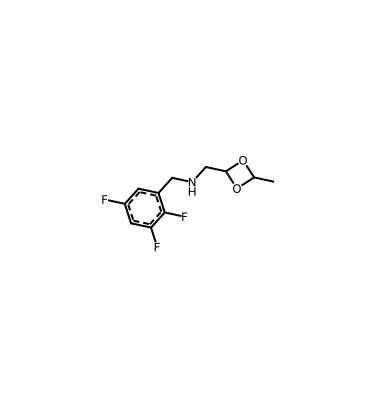 CC1OC(CNCc2cc(F)cc(F)c2F)O1